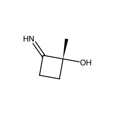 C[C@@]1(O)CCC1=N